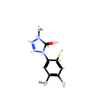 CCCn1nnn(-c2cc(OC)c(Cl)cc2F)c1=O